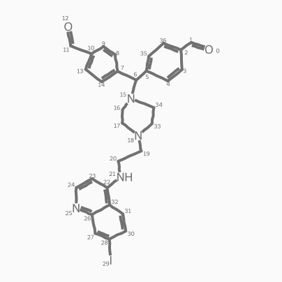 O=Cc1ccc(C(c2ccc(C=O)cc2)N2CCN(CCNc3ccnc4cc(I)ccc34)CC2)cc1